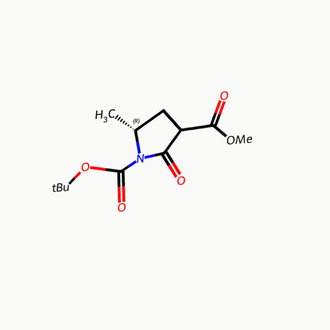 COC(=O)C1C[C@@H](C)N(C(=O)OC(C)(C)C)C1=O